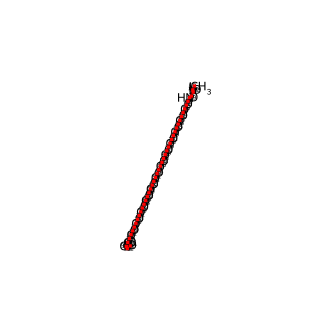 CC(=O)N(CI)CCC(=O)NCCOCCOCCOCCOCCOCCOCCOCCOCCOCCOCCOCCOCCOCCOCCOCCOCCOCCOCCOCCOCCOCCOCCOCCOCCC(=O)ON1C(=O)CCC1=O